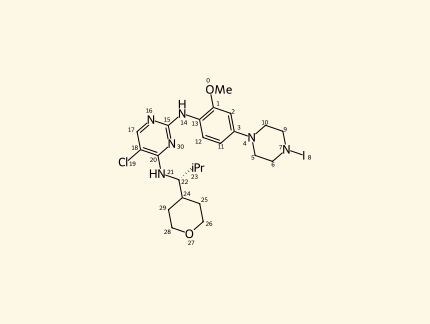 COc1cc(N2CCN(I)CC2)ccc1Nc1ncc(Cl)c(N[C@H](C(C)C)C2CCOCC2)n1